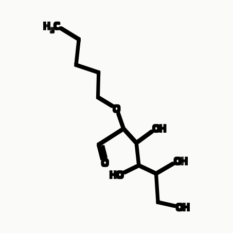 CCCCCOC(C=O)C(O)C(O)C(O)CO